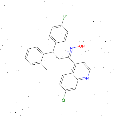 Cc1ccccc1C(C/C(=N/O)c1ccnc2cc(Cl)ccc12)c1ccc(Br)cc1